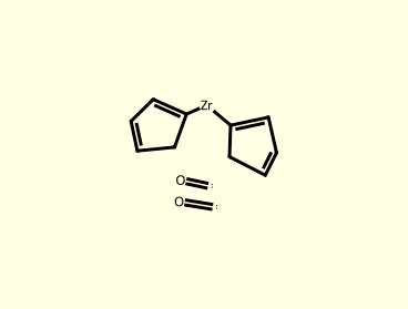 C1=CC[C]([Zr][C]2=CC=CC2)=C1.[C]=O.[C]=O